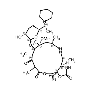 CC[C@H]1OC(=O)C(C)C(=O)[C@H](C)[C@@H](O[C@@H]2O[C@H]([C@@H](C)N3CCCCC3)CC[C@H]2O)[C@](C)(OC)C[C@@H](C)CN[C@H](C)[C@H]2NC(=O)O[C@@]21C